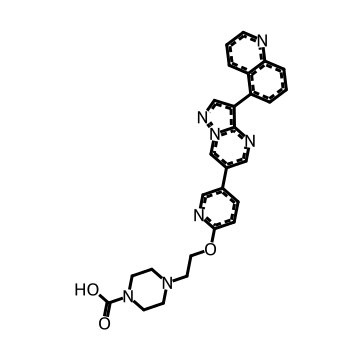 O=C(O)N1CCN(CCOc2ccc(-c3cnc4c(-c5cccc6ncccc56)cnn4c3)cn2)CC1